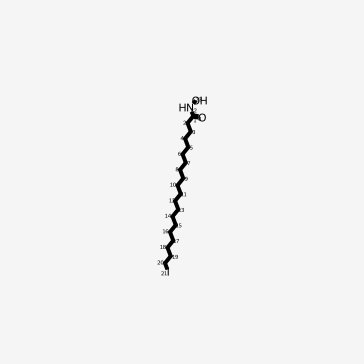 O=C(CCCCCCCCCCCCCCCCCCCI)NO